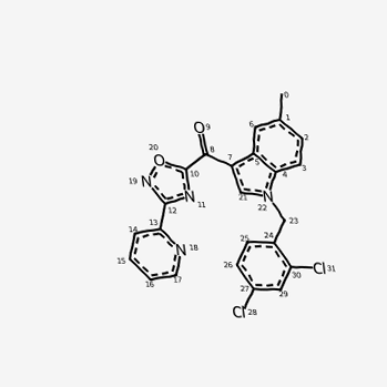 Cc1ccc2c(c1)c(C(=O)c1nc(-c3ccccn3)no1)cn2Cc1ccc(Cl)cc1Cl